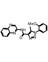 COc1ccccc1-n1nnc(C(=O)Nc2cnc3ccccc3n2)c1C